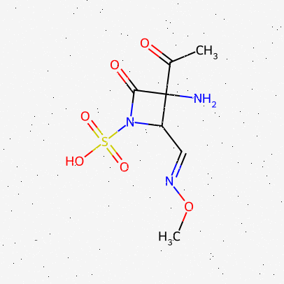 CON=CC1N(S(=O)(=O)O)C(=O)C1(N)C(C)=O